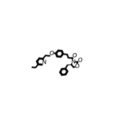 CCc1ccc(CCOc2ccc(CCC(=O)N3C(=O)OC[C@H]3Cc3ccccc3)cc2)nc1